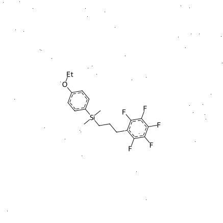 CCOc1ccc([Si](C)(C)CCCc2c(F)c(F)c(F)c(F)c2F)cc1